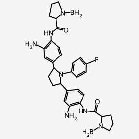 BN1CCCC1C(=O)Nc1ccc(C2CCC(c3ccc(NC(=O)C4CCCN4B)c(N)c3)N2c2ccc(F)cc2)cc1N